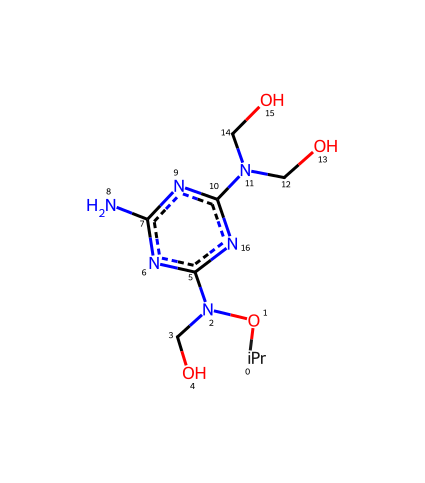 CC(C)ON(CO)c1nc(N)nc(N(CO)CO)n1